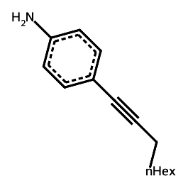 CCCCCCCC#Cc1ccc(N)cc1